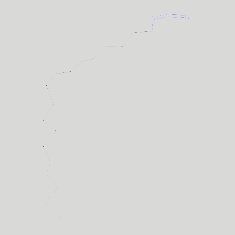 CCCCCCCCC/C=C\CCCCCCCN=[N+]=[N-]